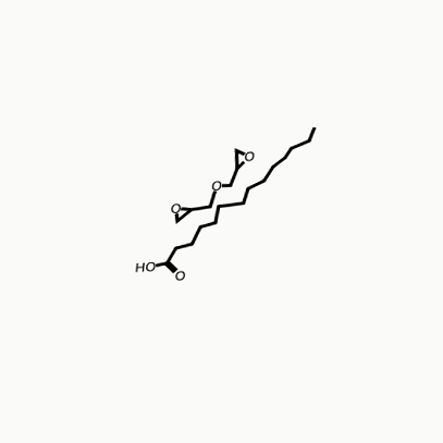 C(OCC1CO1)C1CO1.CCCCCCCCCCCCCC(=O)O